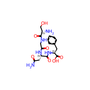 NC(=O)C[C@H](NC(=O)CNC(=O)[C@@H](N)CO)C(=O)N[C@@H](Cc1ccccc1)C(=O)O